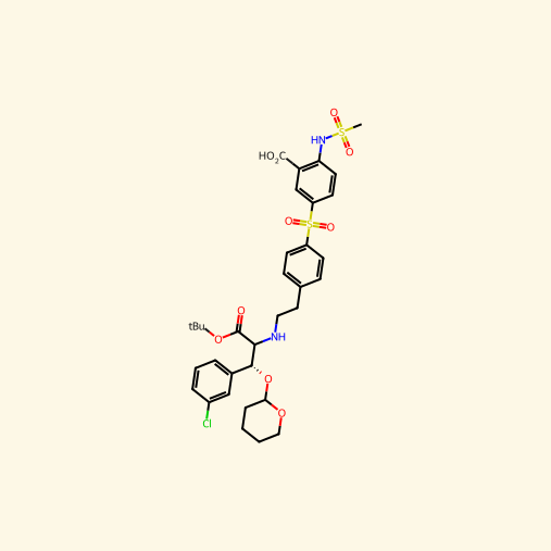 CC(C)(C)OC(=O)C(NCCc1ccc(S(=O)(=O)c2ccc(NS(C)(=O)=O)c(C(=O)O)c2)cc1)[C@H](OC1CCCCO1)c1cccc(Cl)c1